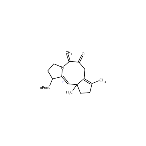 C=C1C(=O)CC2=C(C)CCC2(C)/C=C2/C(CCCCC)CCN12